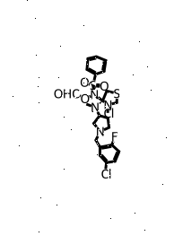 CN(C1CCN(Cc2cc(Cl)ccc2F)C1)[C@]1(N(OC=O)S(=O)(=O)c2ccccc2)CSCN1Cl